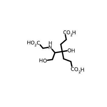 O=C(O)CCC(O)(CCC(=O)O)C(CO)NCC(=O)O